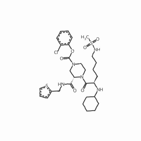 CS(=O)(=O)NCCCC[C@@H](NC1CCCCC1)C(=O)N1CCN(C(=O)Oc2ccccc2Cl)C[C@H]1C(=O)NCc1cccs1